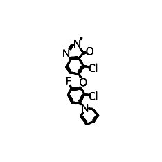 Cn1cnc2ccc(Oc3c(F)ccc(N4C=CC=CC4)c3Cl)c(Cl)c2c1=O